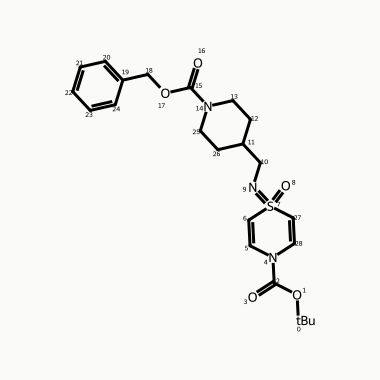 CC(C)(C)OC(=O)N1C=CS(=O)(=NCC2CCN(C(=O)OCc3ccccc3)CC2)C=C1